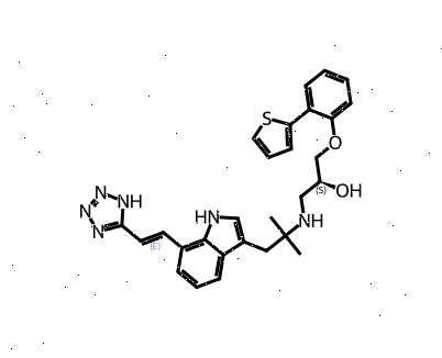 CC(C)(Cc1c[nH]c2c(/C=C/c3nnn[nH]3)cccc12)NC[C@H](O)COc1ccccc1-c1cccs1